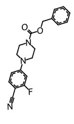 N#Cc1ccc(N2CCN(C(=O)OCc3ccccc3)CC2)cc1F